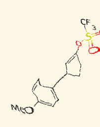 COc1ccc(C2C=C(OS(=O)(=O)C(F)(F)F)CC2)cc1